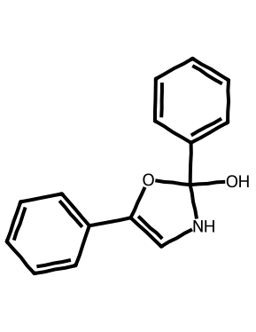 OC1(c2ccccc2)NC=C(c2ccccc2)O1